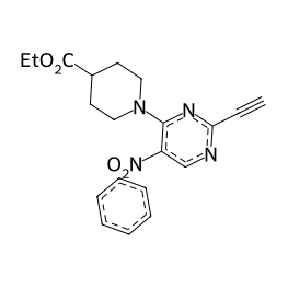 C#Cc1ncc([N+](=O)[O-])c(N2CCC(C(=O)OCC)CC2)n1.c1ccccc1